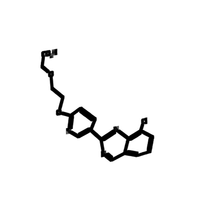 O=C(O)COCCOc1ccc(-c2ncc3cccc(Cl)c3n2)cn1